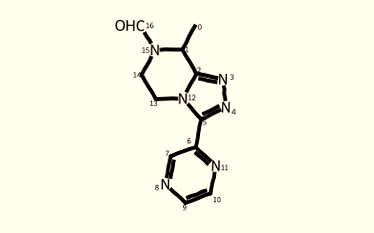 CC1c2nnc(-c3cnccn3)n2CCN1C=O